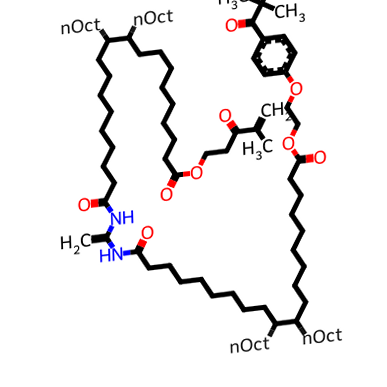 C=C(NC(=O)CCCCCCCCC(CCCCCCCC)C(CCCCCCCC)CCCCCCCCC(=O)OCCOc1ccc(C(=O)C(C)(C)O)cc1)NC(=O)CCCCCCCCC(CCCCCCCC)C(CCCCCCCC)CCCCCCCCC(=O)OCCC(=O)C(=C)C